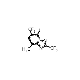 Cc1cc(C(F)(F)F)c(I)n2nc(C(F)(F)F)nc12